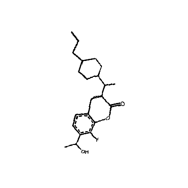 CCCC1CCC(C(C)C2Cc3ccc(C(C)O)c(F)c3OC2=O)CC1